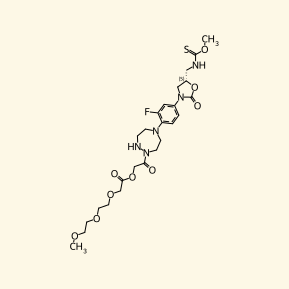 COCCOCCOCC(=O)OCC(=O)N1CCN(c2ccc(N3C[C@H](CNC(=S)OC)OC3=O)cc2F)CCN1